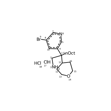 CCCCCCCCC(CN)(c1cncc(Br)c1)C1CCOCC1.Cl.Cl